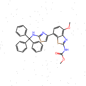 COC(=O)Nc1nc2c(OC)ccc(-c3csc(NC(c4ccccc4)(c4ccccc4)c4ccccc4)n3)c2s1